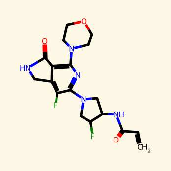 C=CC(=O)NC1CN(c2nc(N3CCOCC3)c3c(c2F)CNC3=O)CC1F